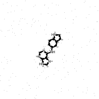 c1nc(Nc2ccc3[nH]ccc3c2)c2nc[nH]c2n1